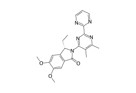 CC[C@H]1c2cc(OC)c(OC)cc2C(=O)N1c1nc(-c2ncccn2)nc(C)c1C